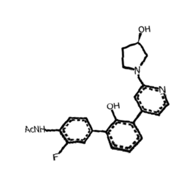 CC(=O)Nc1ccc(-c2cccc(-c3ccnc(N4CC[C@@H](O)C4)c3)c2O)cc1F